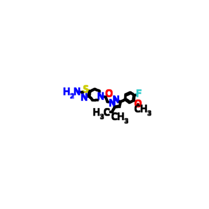 COc1cc(-c2cc(C(C)C)n(CC(=O)N3CCc4nc(N)sc4CC3)n2)ccc1F